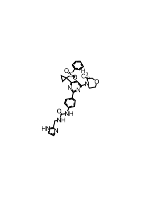 C[C@H]1COCCN1c1cc(C2(S(=O)(=O)c3ccccc3)CC2)nc(-c2ccc(NC(=O)NCc3ncc[nH]3)cc2)n1